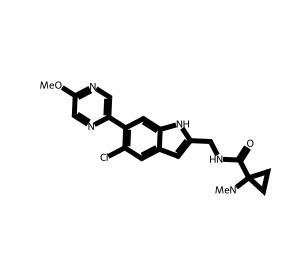 CNC1(C(=O)NCc2cc3cc(Cl)c(-c4cnc(OC)cn4)cc3[nH]2)CC1